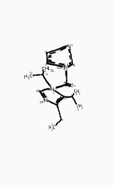 CCC1=C(C(C)C)[N+](C(=O)n2ccnc2)(C(C)C)C=N1